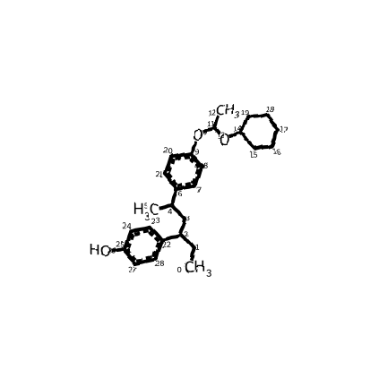 CCC(CC(C)c1ccc(OC(C)OC2CCCCC2)cc1)c1ccc(O)cc1